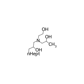 CCCCCCCCC(O)CN(CCO)CC(C)O